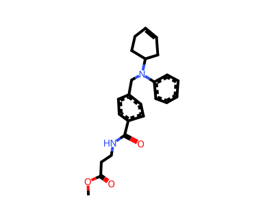 COC(=O)CCNC(=O)c1ccc(CN(c2ccccc2)C2CC=CCC2)cc1